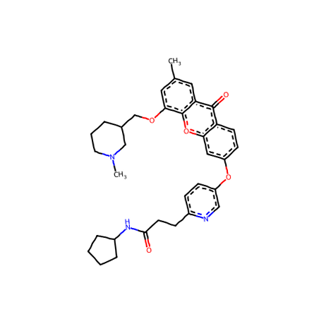 Cc1cc(OCC2CCCN(C)C2)c2oc3cc(Oc4ccc(CCC(=O)NC5CCCC5)nc4)ccc3c(=O)c2c1